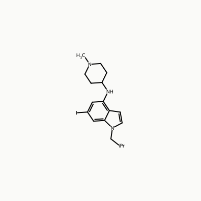 CC(C)Cn1ccc2c(NC3CCN(C)CC3)cc(I)cc21